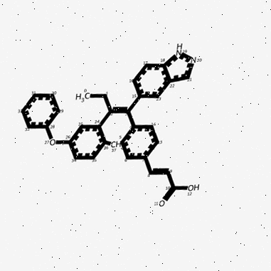 CC/C(=C(/c1ccc(/C=C/C(=O)O)cc1)c1ccc2[nH]ncc2c1)c1cc(Oc2ccccc2)ccc1C